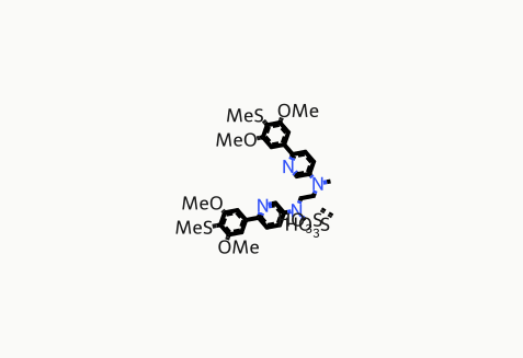 COc1cc(-c2ccc(N(C)CCN(C)c3ccc(-c4cc(OC)c(SC)c(OC)c4)nc3)cn2)cc(OC)c1SC.CS(=O)(=O)O.CS(=O)(=O)O